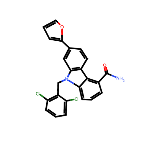 NC(=O)c1cccc2c1c1[c]cc(-c3ccco3)cc1n2Cc1c(Cl)cccc1Cl